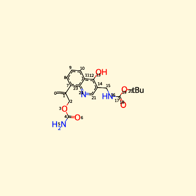 C=C(COC(N)=O)c1cccc2c(O)c(CNC(=O)OC(C)(C)C)cnc12